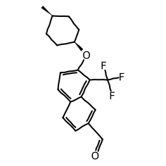 C[C@H]1CC[C@@H](Oc2ccc3ccc(C=O)cc3c2C(F)(F)F)CC1